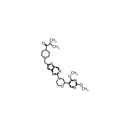 COc1ncc(C2CN(c3ncc4sc(CN5CCC(C(=O)N(C)C)CC5)cc4n3)CCO2)c(OC)n1